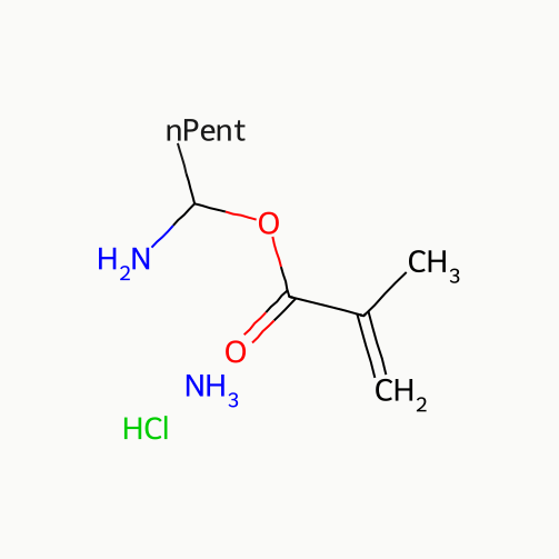 C=C(C)C(=O)OC(N)CCCCC.Cl.N